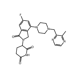 Cc1nccnc1CN1CCN(c2cc(F)cc3c2CN(C2CCC(=O)NC2=O)C3=O)CC1